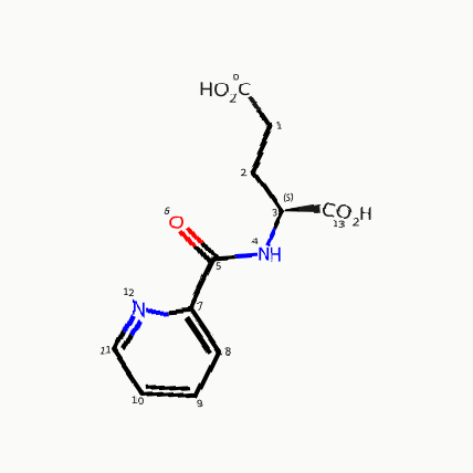 O=C(O)CC[C@H](NC(=O)c1ccccn1)C(=O)O